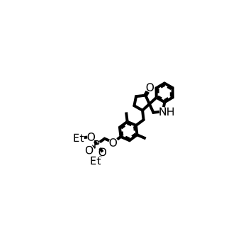 CCOP(=O)(COc1cc(C)c(CC2CCC(=O)C23CNc2ccccc23)c(C)c1)OCC